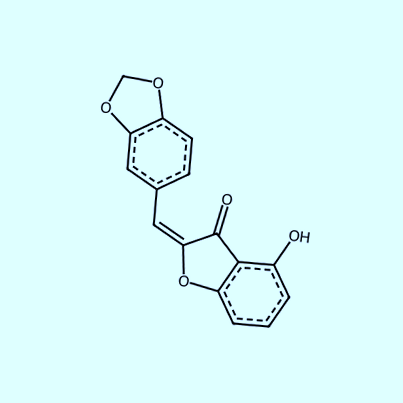 O=C1C(=Cc2ccc3c(c2)OCO3)Oc2cccc(O)c21